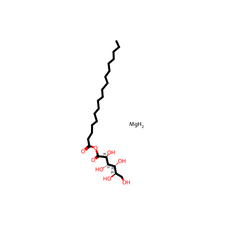 CCCCCCCCCCCCCCCCCC(=O)OC(=O)[C@H](O)[C@@H](O)[C@H](O)[C@H](O)CO.[MgH2]